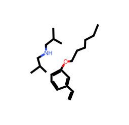 C=Cc1cccc(OCCCCCC)c1.CC(C)CNCC(C)C